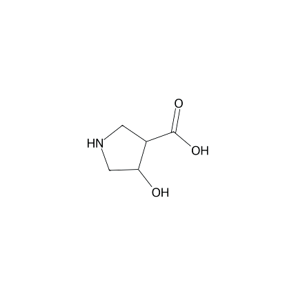 O=C(O)C1CNCC1O